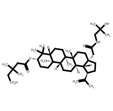 C=C(C)[C@@H]1CC[C@]2(CC(=O)NCC(C)(C)O)CC[C@]3(C)[C@H](CC[C@@H]4[C@@]5(C)CC[C@H](OC(=O)CC(C)(C)CC(=O)O)C(C)(C)[C@@H]5CC[C@]43C)[C@@H]12